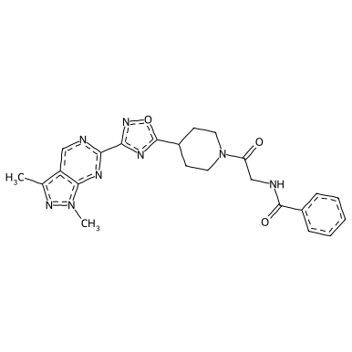 Cc1nn(C)c2nc(-c3noc(C4CCN(C(=O)CNC(=O)c5ccccc5)CC4)n3)ncc12